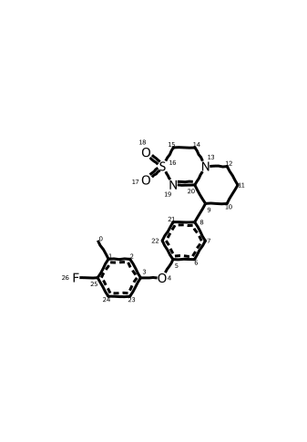 Cc1cc(Oc2ccc(C3CCCN4CCS(=O)(=O)N=C34)cc2)ccc1F